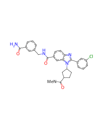 CNC(=O)C1CCC(n2c(-c3cccc(Cl)c3)nc3ccc(C(=O)NCc4cccc(C(N)=O)c4)cc32)C1